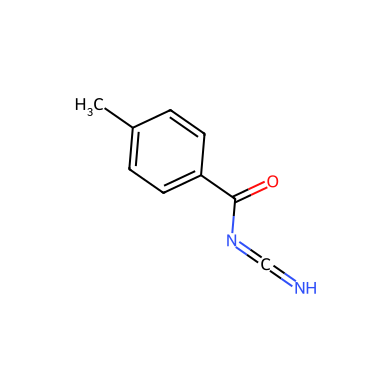 Cc1ccc(C(=O)N=C=N)cc1